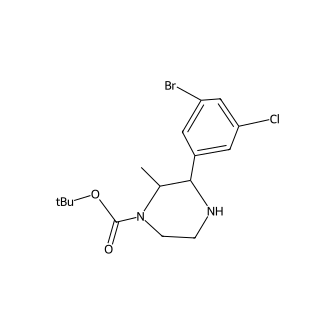 CC1C(c2cc(Cl)cc(Br)c2)NCCN1C(=O)OC(C)(C)C